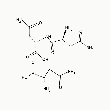 NC(=O)C[C@H](N)C(=O)O.NC(=O)C[C@H](NC(=O)[C@@H](N)CC(N)=O)C(=O)O